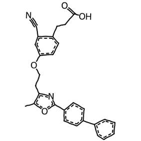 Cc1oc(-c2ccc(-c3ccccc3)cc2)nc1CCOc1ccc(CCC(=O)O)c(C#N)c1